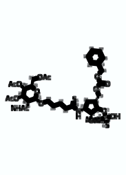 CO[C@H]1C(OP(O)(=S)OC)[C@@H](COC(=O)OCc2ccccc2)C[C@H]1NC(=S)CCCCO[C@@H]1O[C@H](COC(C)=O)[C@H](OC(C)=O)[C@H](OC(C)=O)[C@H]1NC(C)=O